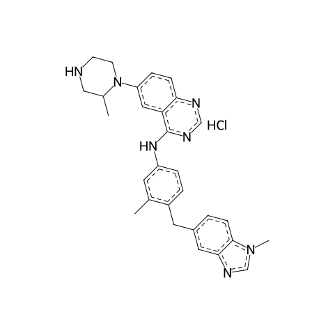 Cc1cc(Nc2ncnc3ccc(N4CCNCC4C)cc23)ccc1Cc1ccc2c(c1)ncn2C.Cl